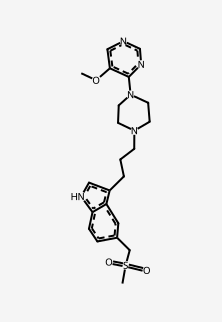 COc1cncnc1N1CCN(CCCc2c[nH]c3ccc(CS(C)(=O)=O)cc23)CC1